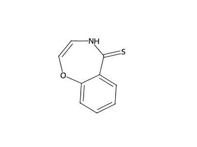 S=C1NC=COc2ccccc21